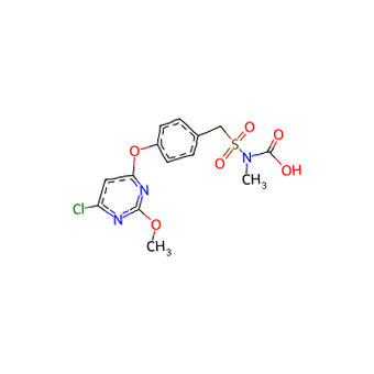 COc1nc(Cl)cc(Oc2ccc(CS(=O)(=O)N(C)C(=O)O)cc2)n1